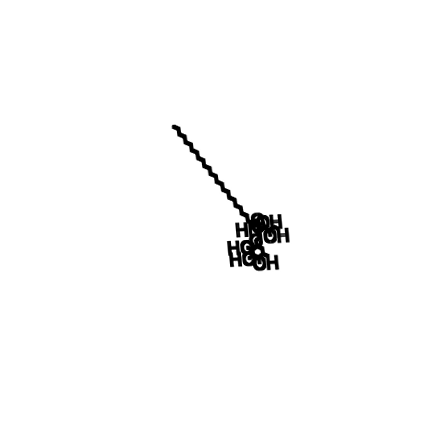 CCCCCCCCCCCCCCCCCCCCCCCCCC(=O)NC(COC1CC(C)C(O)C(O)C1O)C(O)C(O)CC